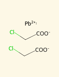 O=C([O-])CCl.O=C([O-])CCl.[Pb+2]